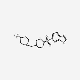 CC1CCN(CC2CCN(S(=O)(=O)c3ccc4ncsc4c3)CC2)CC1